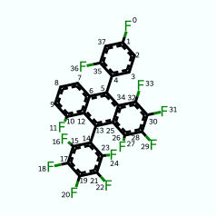 Fc1ccc(-c2c3cccc(F)c3c(-c3c(F)c(F)c(F)c(F)c3F)c3c(F)c(F)c(F)c(F)c23)c(F)c1